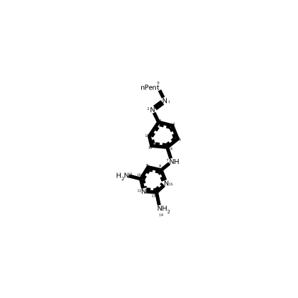 CCCCCN=Nc1ccc(Nc2cc(N)nc(N)n2)cc1